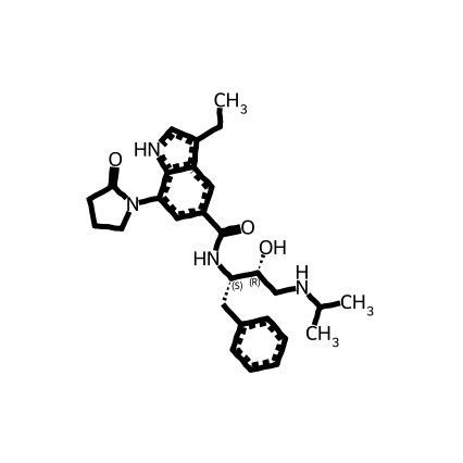 CCc1c[nH]c2c(N3CCCC3=O)cc(C(=O)N[C@@H](Cc3ccccc3)[C@H](O)CNC(C)C)cc12